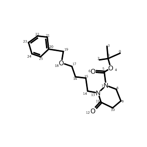 CC(C)(C)OC(=O)N1CCCC(=O)N1CCCCOCc1ccccc1